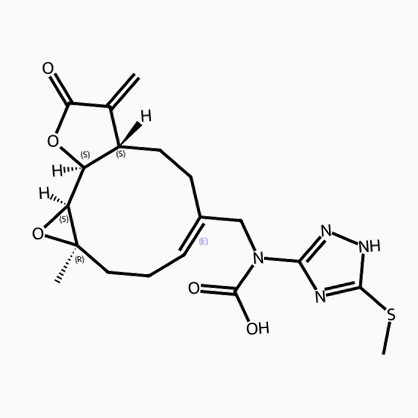 C=C1C(=O)O[C@H]2[C@H]1CC/C(CN(C(=O)O)c1n[nH]c(SC)n1)=C\CC[C@@]1(C)O[C@@H]21